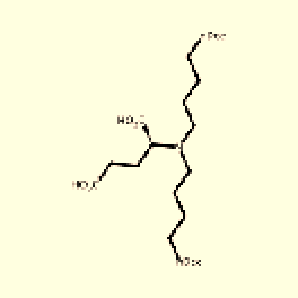 CCCCCCCCCCCCCCN(CCCCCCCCCCCCCC)[C@@H](CCC(=O)O)C(=O)O